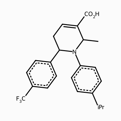 CC(C)c1ccc(N2C(C)C(C(=O)O)=CCC2c2ccc(C(F)(F)F)cc2)cc1